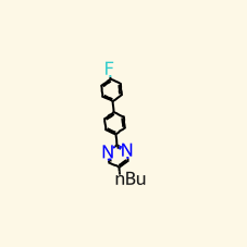 CCCCc1cnc(-c2ccc(-c3ccc(F)cc3)cc2)nc1